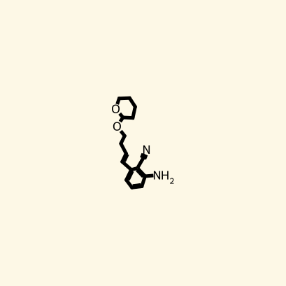 N#Cc1c(N)cccc1C=CCCOC1CCCCO1